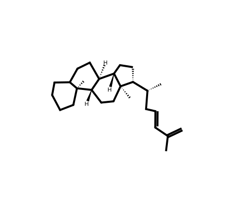 C=C(C)C=CC[C@@H](C)[C@H]1CC[C@H]2[C@@H]3CCC4CCCC[C@]4(C)[C@H]3CC[C@]12C